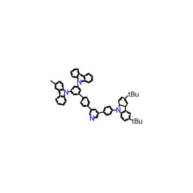 Cc1ccc2c(c1)c1ccccc1n2-c1cc(-c2ccc(-c3cncc(-c4ccc(N5c6ccc(C(C)(C)C)cc6C6C=C(C(C)(C)C)C=CC65)cc4)c3)cc2)cc(-n2c3ccccc3c3ccccc32)c1